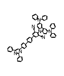 N#Cc1cc(-c2ccc(-c3ccc(-c4cc(-c5ccccc5)nc(-c5ccccc5)n4)cc3)cc2)cc(C#N)c1-n1c2ccc(N(c3ccccc3)c3ccccc3)cc2c2cc(N(c3ccccc3)c3ccccc3)ccc21